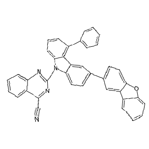 N#Cc1nc(-n2c3ccc(-c4ccc5oc6ccccc6c5c4)cc3c3c(-c4ccccc4)cccc32)nc2ccccc12